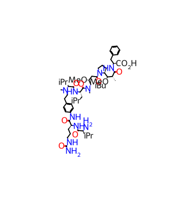 CC[C@H](C)[C@@H]([C@@H](CC(=O)N1CCC[C@H]1[C@H](OC)[C@@H](C)C(=O)N[C@@H](Cc1ccccc1)C(=O)O)OC)N(C)C(=O)[C@H](CC(C)C)NC(=O)[C@H](C(C)C)N(C)CCc1ccc(NC(=O)[C@H](CCCNC(N)=O)NC(=O)[C@@H](N)C(C)C)cc1